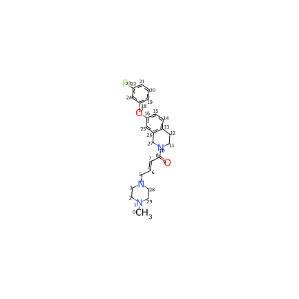 CN1CCN(C/C=C/C(=O)N2CCc3ccc(Oc4cccc(F)c4)cc3C2)CC1